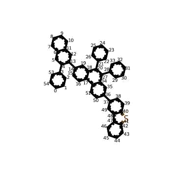 c1ccc(-c2cc3ccccc3cc2-c2ccc3c(c2)c(-c2ccccc2)c(-c2ccccc2)c2cc(-c4ccc5sc6ccccc6c5c4)ccc23)cc1